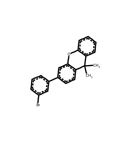 CC1(C)c2ccccc2Oc2cc(-c3cccc(Br)c3)ccc21